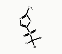 Cc1ncc(S(=O)(=O)C(Br)(Br)Br)s1